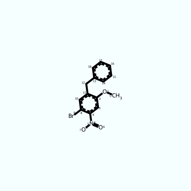 COc1cc([N+](=O)[O-])c(Br)cc1Cc1ccccc1